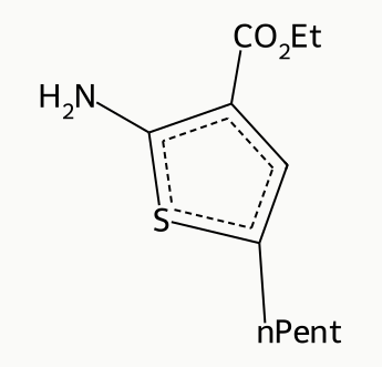 CCCCCc1cc(C(=O)OCC)c(N)s1